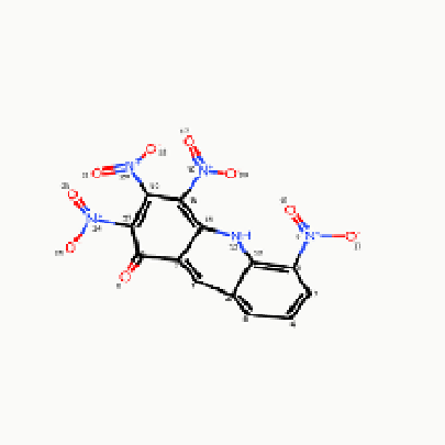 O=c1c2cc3cccc([N+](=O)[O-])c3[nH]c-2c([N+](=O)[O-])c([N+](=O)[O-])c1[N+](=O)[O-]